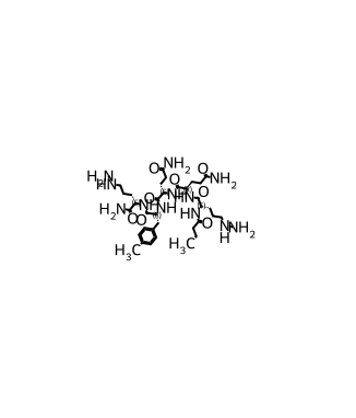 CCCC(=O)N[C@@H](CCCNN)C(=O)N[C@H](CCC(N)=O)C(=O)N[C@@H](CCC(N)=O)C(=O)N[C@H](Cc1ccc(C)cc1)C(=O)N[C@@H](CCCNN)C(N)=O